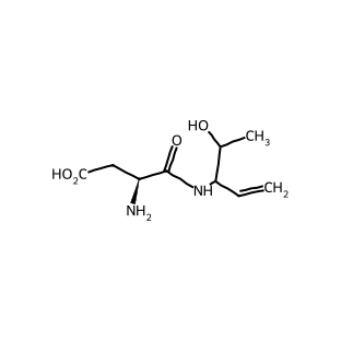 C=CC(NC(=O)[C@@H](N)CC(=O)O)C(C)O